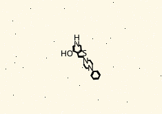 OC1=CNCc2sc(N3CCN(c4ccccc4)CC3)cc21